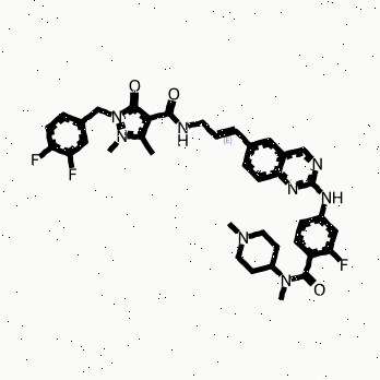 Cc1c(C(=O)NC/C=C/c2ccc3nc(Nc4ccc(C(=O)N(C)C5CCN(C)CC5)c(F)c4)ncc3c2)c(=O)n(Cc2ccc(F)c(F)c2)n1C